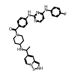 CC(NC1CCN(C(=O)c2ccc(Nc3nccc(Nc4ccc(F)cc4)n3)cc2)CC1)C1=CC2=CNSN2C=C1